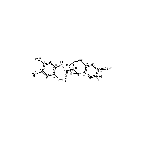 O=C(Nc1cc(Cl)c(Br)cc1F)N1C2CCC1c1c[nH]c(=O)cc1C2